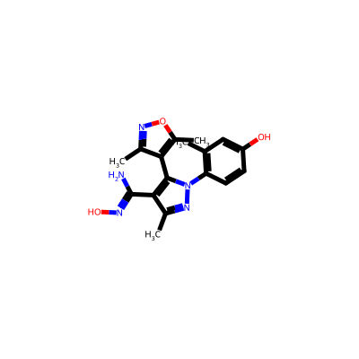 Cc1cc(O)ccc1-n1nc(C)c(/C(N)=N/O)c1-c1c(C)noc1C